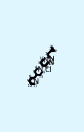 Clc1c(N2CCC(c3ccccn3)CC2)ccn2c(CC3CC3)nnc12